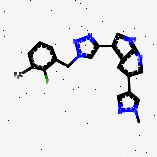 Cn1cc(-c2cnc3[nH]cc(-c4cn(Cc5cccc(C(F)(F)F)c5F)nn4)c3c2)cn1